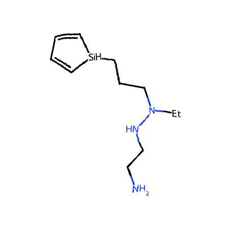 CCN(CCC[SiH]1C=CC=C1)NCCN